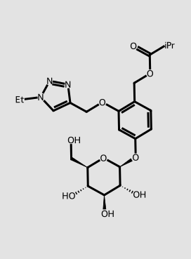 CCn1cc(COc2cc(O[C@@H]3O[C@H](CO)[C@@H](O)[C@H](O)[C@H]3O)ccc2COC(=O)C(C)C)nn1